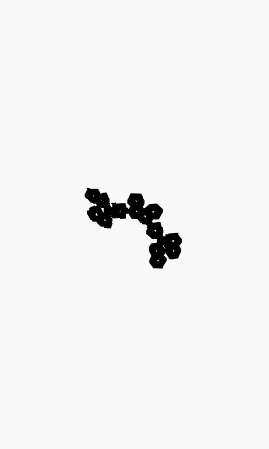 c1ccc2cc(N(c3ccc(-c4cc5cc(-c6ccc(N(c7ccc8ccccc8c7)c7cccc8ccccc78)cc6)c6ccccc6c5c5ccccc45)cc3)c3cccc4ccccc34)ccc2c1